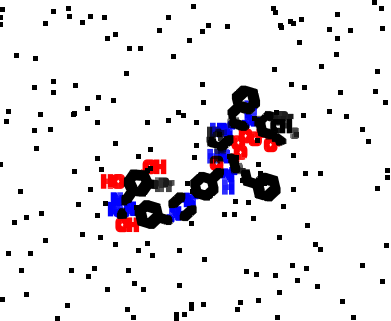 CC(C)C[C@H](NC(=O)[C@H](CCc1ccccc1)NC(=O)C1CCC(N2CCN(Cc3ccc(-n4c(O)nnc4-c4cc(C(C)C)c(O)cc4O)cc3)CC2)CC1)C(=O)N[C@@H](Cc1ccccc1)C(=O)N[C@@H](CC(C)C)C(=O)[C@@]1(C)CO1